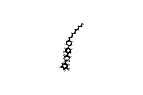 CCCCCCCCC[C@H]1CC[C@H](c2ccc(-c3cnc(-c4cc(F)c(F)c(F)c4)nc3)cc2)CC1